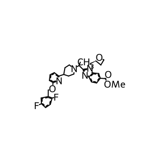 COC(=O)c1ccc2nc(C(C)N3CCC(c4cccc(OCc5cc(F)ccc5F)n4)CC3)n(C[C@@H]3CCO3)c2c1